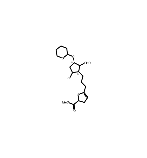 COC(=O)C1CC=C(CCC[C@H]2C(Cl)C[C@@H](OC3CCCCO3)C2C=O)S1